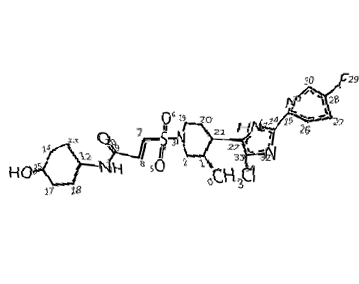 C[C@H]1CN(S(=O)(=O)C=CC(=O)NC2CCC(O)CC2)CC[C@H]1c1[nH]c(-c2ccc(F)cn2)nc1Cl